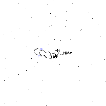 C=C/C=c1/cccc/c1=C/CCC(C=O)C1=NC(CNC)=NC1